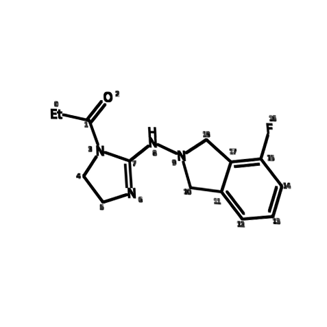 CCC(=O)N1CCN=C1NN1Cc2cccc(F)c2C1